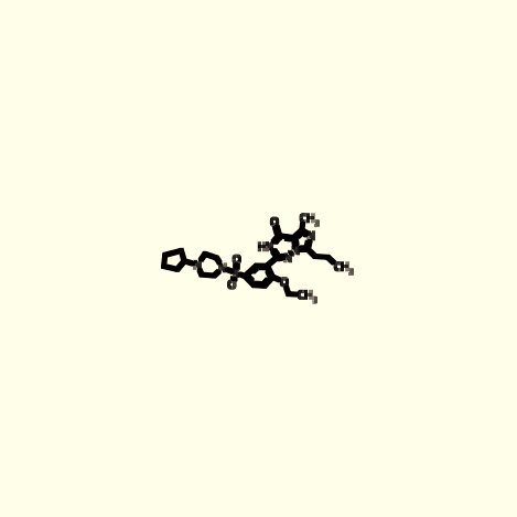 CCCc1nc(C)c2c(=O)[nH]c(-c3cc(S(=O)(=O)N4CCN(C5CCCC5)CC4)ccc3OCC)nn12